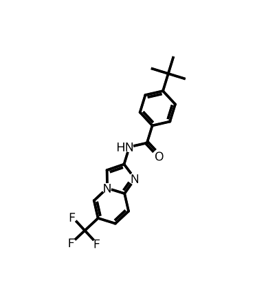 CC(C)(C)c1ccc(C(=O)Nc2cn3cc(C(F)(F)F)ccc3n2)cc1